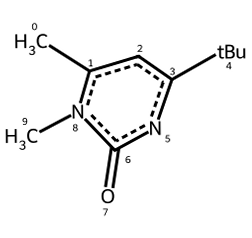 Cc1cc(C(C)(C)C)nc(=O)n1C